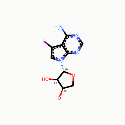 Nc1ncnc2c1c(I)cn2[C@@H]1OC[C@@H](O)[C@H]1O